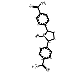 N=C(N)c1ccc(C2CCC(c3ccc(C(=N)N)cc3)N2O)cc1